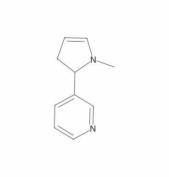 CN1C=CCC1c1cccnc1